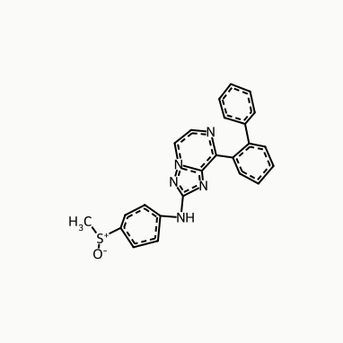 C[S+]([O-])c1ccc(Nc2nc3c(-c4ccccc4-c4ccccc4)nccn3n2)cc1